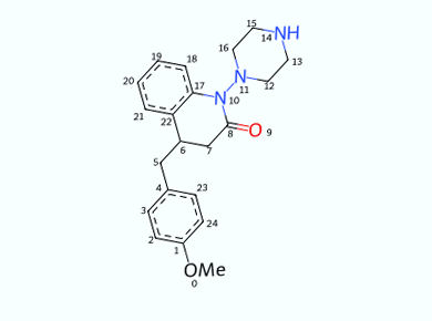 COc1ccc(CC2CC(=O)N(N3CCNCC3)c3ccccc32)cc1